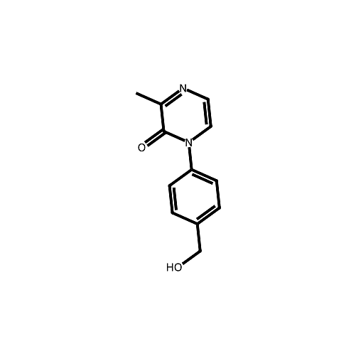 Cc1nccn(-c2ccc(CO)cc2)c1=O